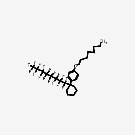 CCCCCCCCOc1ccc(C2(C(F)(F)C(F)(F)C(F)(F)C(F)(F)C(F)(F)C(F)(F)C(F)(F)C(F)(F)F)CCCCC2)cc1